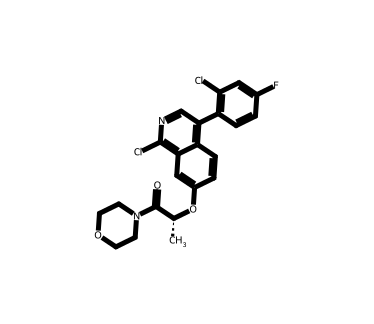 C[C@@H](Oc1ccc2c(-c3ccc(F)cc3Cl)cnc(Cl)c2c1)C(=O)N1CCOCC1